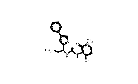 Cn1ccc(O)c(NC(=O)NC(CC(=O)O)c2cc(-c3ccccc3)cs2)c1=O